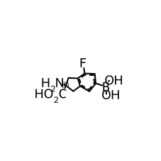 N[C@@]1(C(=O)O)Cc2cc(B(O)O)cc(F)c2C1